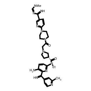 CCN(C(=O)[C@@H]1CCN(CC(=O)N2CCN(c3ccc(C(=N)/N=C\NC)cn3)CC2)C1)c1ccc(N)c(C(=N)c2ccnc(C)c2)n1